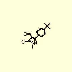 Cn1nc(-c2ccc(C(C)(C)C)cc2)c(C=O)c1Cl